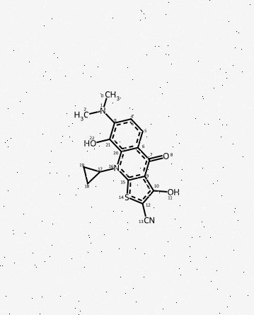 CN(C)c1ccc2c(=O)c3c(O)c(C#N)sc3n(C3CC3)c2c1O